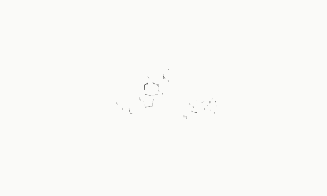 CN(C)C(=O)Cn1ccc2nc(NC3CCC(Oc4nc(N5CCOCC5)cc5ncnn45)CC3)ncc21